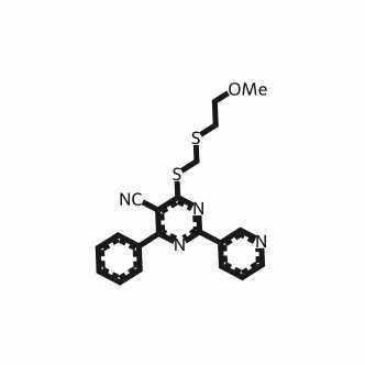 COCCSCSc1nc(-c2cccnc2)nc(-c2ccccc2)c1C#N